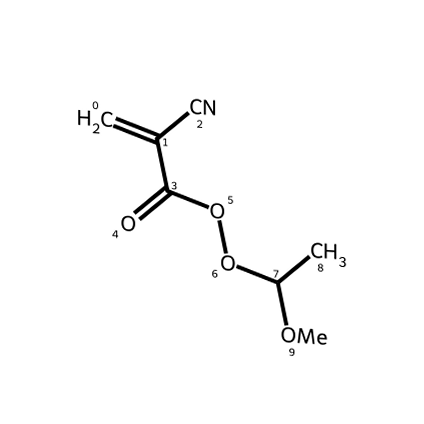 C=C(C#N)C(=O)OOC(C)OC